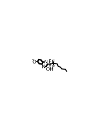 CCCCCCC(F)(F)C(F)(F)c1nc2ccc(OC)cc2nc1O